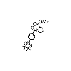 COC(=O)[C@@H]1CCCN1C(=O)c1ccc(B2OC(C)(C)C(C)(C)O2)cc1